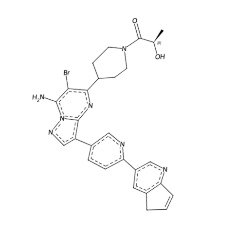 C[C@@H](O)C(=O)N1CCC(c2nc3c(-c4ccc(-c5cnc6c(c5)CC=C6)nc4)cnn3c(N)c2Br)CC1